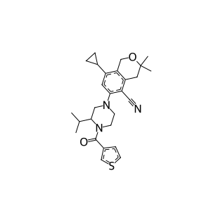 CC(C)C1CN(c2cc(C3CC3)c3c(c2C#N)CC(C)(C)OC3)CCN1C(=O)c1ccsc1